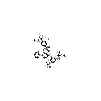 [2H]C([2H])(C)Oc1ccccc1Oc1c(NS(=O)(=O)c2ccc(C(C)(C)C)cc2)nc(-c2ncccn2)nc1OCC(O)(F)F